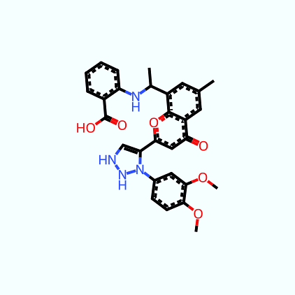 COc1ccc(N2NNC=C2c2cc(=O)c3cc(C)cc(C(C)Nc4ccccc4C(=O)O)c3o2)cc1OC